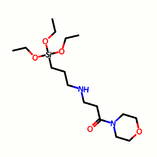 CCO[Si](CCCNCCC(=O)N1CCOCC1)(OCC)OCC